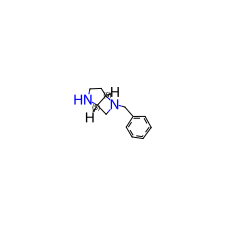 c1ccc(CN2C[C@@H]3NCC[C@@H]32)cc1